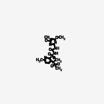 COc1cc(OC)nc(NC(=O)NS(=O)(=O)c2nc(C)ccc2N(C)S(C)(=O)=O)n1